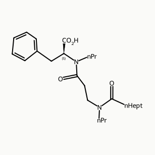 CCCCCCCC(=O)N(CCC)CCC(=O)N(CCC)[C@@H](Cc1ccccc1)C(=O)O